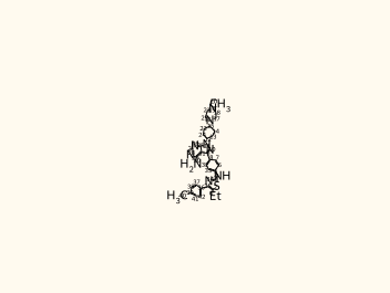 CCc1sc(Nc2ccc(-c3nn([C@H]4CC[C@@H](N5CCN(C)CC5)CC4)c4ncnc(N)c34)cc2)nc1-c1ccc(C)cc1